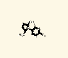 Cc1ccc(C)n1-c1ccc(F)nc1